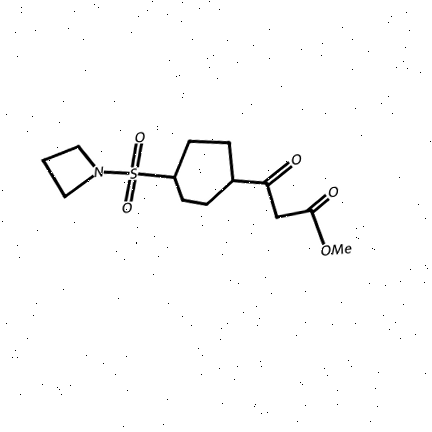 COC(=O)CC(=O)C1CCC(S(=O)(=O)N2CCC2)CC1